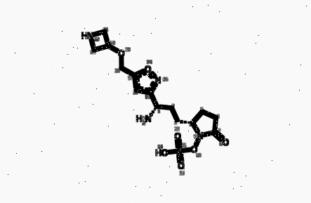 N[C@@H](CC[C@@H]1CCC(=O)N1OS(=O)(=O)O)c1cc(COC2CNC2)on1